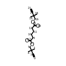 C#CC(C)(C)COC(=O)CCCCC(=O)OCC(C)(C)C#C